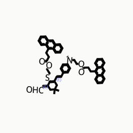 CN(CCOC(=O)CCc1c2ccccc2cc2ccccc12)c1ccc(/C=C/C2=C(SCCOC(=O)CCc3c4ccccc4cc4ccccc34)C(=C/C=O)/CC(C)(C)C2)cc1